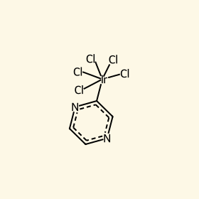 [Cl][Ir]([Cl])([Cl])([Cl])([Cl])[c]1cnccn1